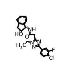 CCn1nc(-c2ccc(Cl)c(F)c2)nc1CC(=O)N[C@H]1c2ccccc2C[C@H]1O